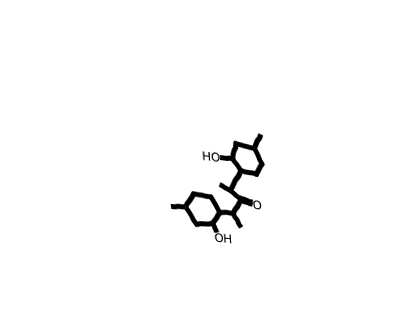 CC1CCC(C(C)C(=O)C(C)C2CCC(C)CC2O)C(O)C1